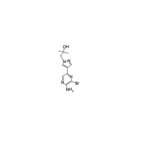 CC(C)(O)Cn1cc(-c2cnc(N)c(Br)n2)cn1